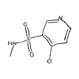 CNS(=O)(=O)c1cnccc1Cl